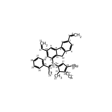 C=Cc1ccc2c(c1)-c1cc(C=C)c[c](/[Zr+2]([C]3=CC(C(C)(C)C)=CC3C)=[C](/CC)c3ccccc3)c1C2.[Cl-].[Cl-]